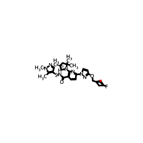 Cc1c(SNC(=O)c2ccc(-n3ccc(OCC45CC(F)(C4)C5)n3)nc2N2C[C@@H](C)CC2(C)C)cnn1C